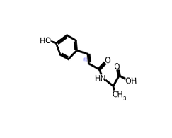 CC(NC(=O)/C=C/c1ccc(O)cc1)C(=O)O